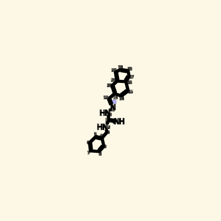 N=C(NCc1ccccc1)N/N=C/c1ccc2ccccc2c1